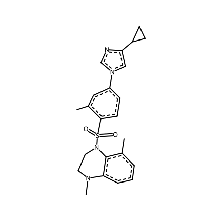 Cc1cc(-n2cnc(C3CC3)c2)ccc1S(=O)(=O)N1CCN(C)c2cccc(C)c21